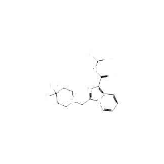 CC(NC(=O)c1nc(CN2CCC(F)(F)CC2)n2ccccc12)C(C)(C)C